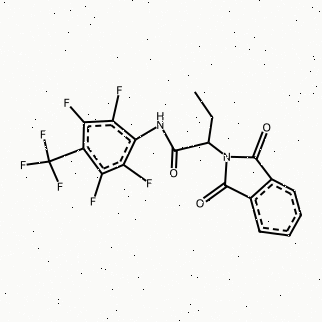 CCC(C(=O)Nc1c(F)c(F)c(C(F)(F)F)c(F)c1F)N1C(=O)c2ccccc2C1=O